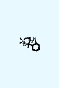 CC1(c2ccccc2N)CCC[Si](C)(C)O1